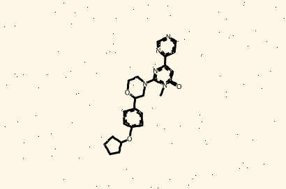 Cn1c(N2CCOC(c3ccc(OC4CCCC4)cc3)C2)nc(-c2ccncn2)cc1=O